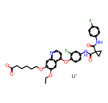 CCOc1cc2c(Oc3ccc(NC(=O)C4(C(=O)Nc5ccc(F)cc5)CC4)cc3F)ccnc2cc1OCCCCCC(=O)[O-].[Li+]